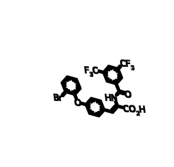 O=C(O)/C(=C/c1ccc(Oc2ccccc2Br)cc1)NC(=O)c1cc(C(F)(F)F)cc(C(F)(F)F)c1